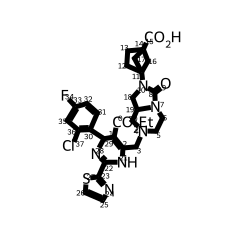 CCOC(=O)C1=C(CN2CCN3C(=O)N(C45CCC(C(=O)O)(C4)C5)CC3C2)NC(c2nccs2)=NC1c1ccc(F)cc1Cl